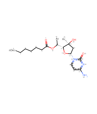 CCCCCCCCCCCCCCCC(=O)OC(C(C)=O)[C@H]1O[C@@H](n2ccc(N)nc2=O)C[C@@]1(O)C(C)=O